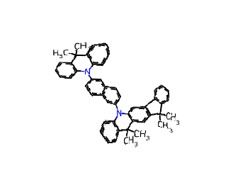 CC1(C)c2ccccc2-c2cc3c(cc21)C(C)(C)c1ccccc1N3c1ccc2cc(N3c4ccccc4C(C)(C)c4ccccc43)ccc2c1